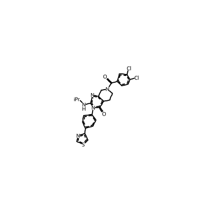 CC(C)Nc1nc2c(c(=O)n1-c1ccc(-c3cscn3)cc1)CCN(C(=O)c1ccc(Cl)c(Cl)c1)C2